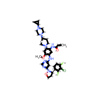 C=CC(=O)Nc1cc(Nc2cc(N3OCC[C@@H]3c3ccc(F)c(Cl)c3F)ncn2)c(OC)cc1N1CCC(N2CCN(C3CC3)CC2)CC1